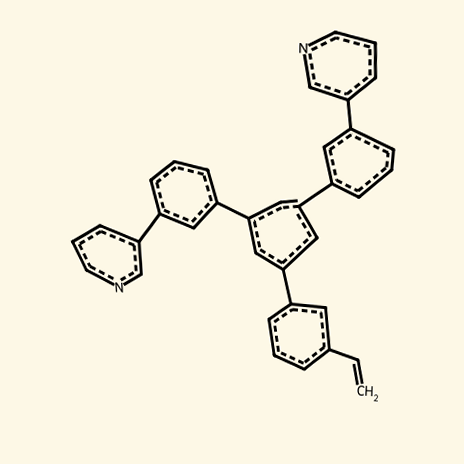 C=Cc1cccc(-c2cc(-c3cccc(-c4cccnc4)c3)cc(-c3cccc(-c4cccnc4)c3)c2)c1